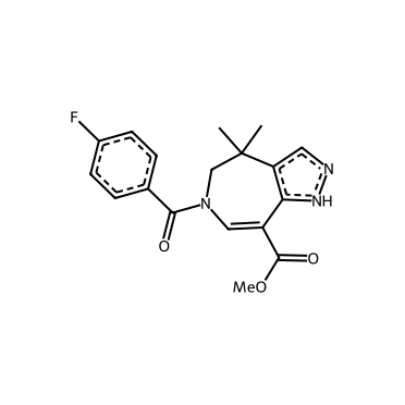 COC(=O)C1=CN(C(=O)c2ccc(F)cc2)CC(C)(C)c2cn[nH]c21